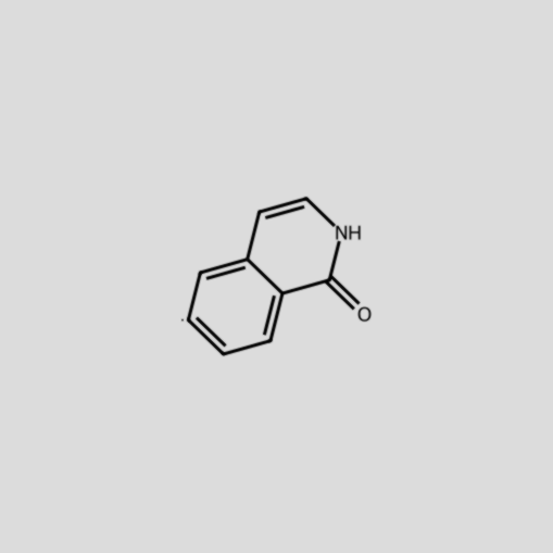 O=c1[nH]ccc2c[c]ccc12